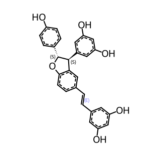 Oc1ccc([C@H]2Oc3ccc(/C=C/c4cc(O)cc(O)c4)cc3[C@@H]2c2cc(O)cc(O)c2)cc1